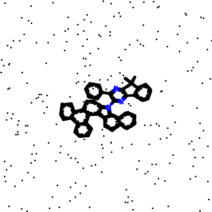 CC1(C)c2ccccc2-c2nc(-n3c4ccc5c6ccccc6c6ccccc6c5c4c4ccc5ccccc5c43)c(-c3ccccc3)nc21